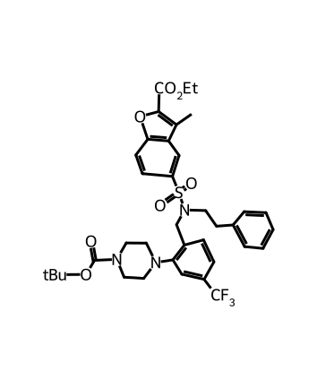 CCOC(=O)c1oc2ccc(S(=O)(=O)N(CCc3ccccc3)Cc3ccc(C(F)(F)F)cc3N3CCN(C(=O)OC(C)(C)C)CC3)cc2c1C